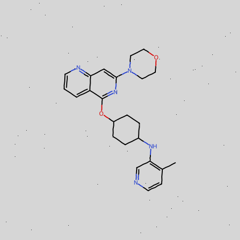 Cc1ccncc1NC1CCC(Oc2nc(N3CCOCC3)cc3ncccc23)CC1